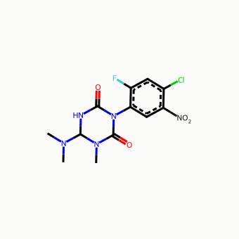 CN(C)C1NC(=O)N(c2cc([N+](=O)[O-])c(Cl)cc2F)C(=O)N1C